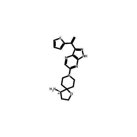 C=C(c1cccs1)c1n[nH]c2nc(N3CCC4(CC3)OCC[C@H]4N)cnc12